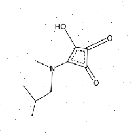 CC(C)CN(C)c1c(O)c(=O)c1=O